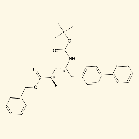 C[C@H](C[C@@H](Cc1ccc(-c2ccccc2)cc1)NC(=O)OC(C)(C)C)C(=O)OCc1ccccc1